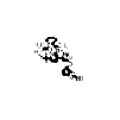 CC(C)CN1CCCCC1C(C)(C)Nc1nc(C(F)(F)F)ccc1-c1cc(Oc2cccc3sc(N)nc23)ncn1